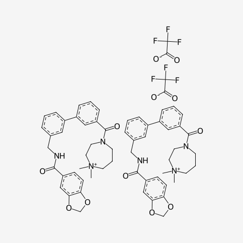 C[N+]1(C)CCCN(C(=O)c2cccc(-c3cccc(CNC(=O)c4ccc5c(c4)OCO5)c3)c2)CC1.C[N+]1(C)CCCN(C(=O)c2cccc(-c3cccc(CNC(=O)c4ccc5c(c4)OCO5)c3)c2)CC1.O=C([O-])C(F)(F)F.O=C([O-])C(F)(F)F